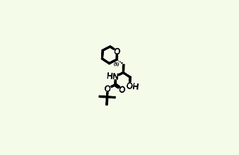 CC(C)(C)OC(=O)NC(CO)C[C@@H]1CCCCO1